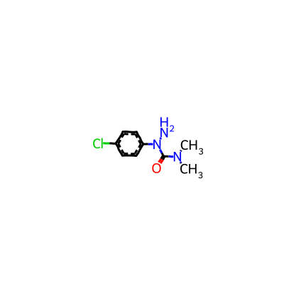 CN(C)C(=O)N(N)c1ccc(Cl)cc1